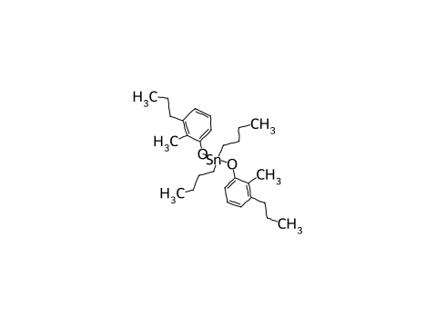 CCC[CH2][Sn]([CH2]CCC)([O]c1cccc(CCC)c1C)[O]c1cccc(CCC)c1C